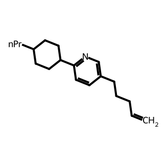 C=CCCCc1ccc(C2CCC(CCC)CC2)nc1